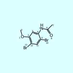 COc1cc(NC(C)=O)c(Br)cc1Br